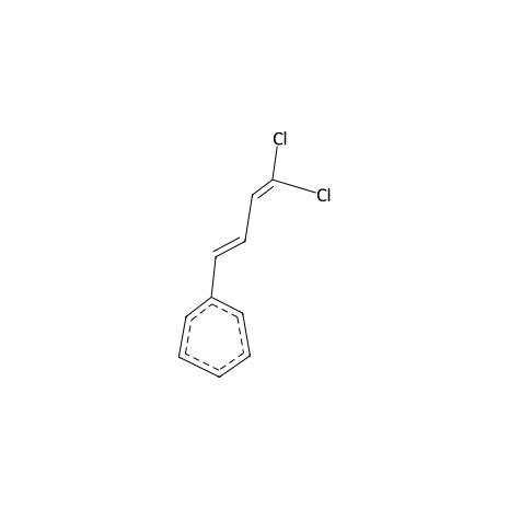 ClC(Cl)=CC=Cc1ccccc1